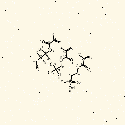 C=C(C)C(=O)OC(Br)(Br)C(C)(C)CBr.C=C(C)C(=O)OCC(Cl)(Cl)Cl.C=C(C)C(=O)OCCS(=O)(=O)O